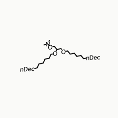 CCCCCCCCCCCCCCCCOCC(CON(C)C)OCCCCCCCCCCCCCCCC